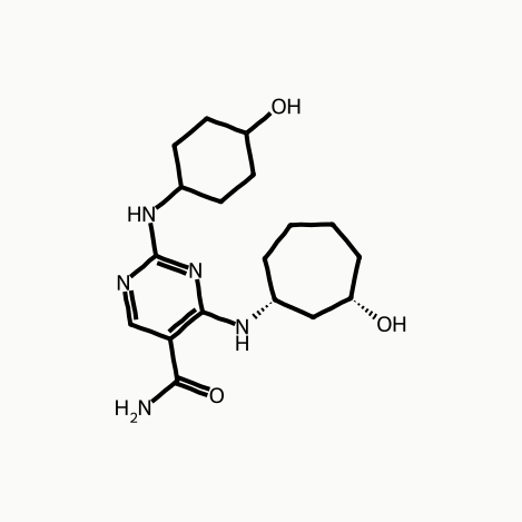 NC(=O)c1cnc(NC2CCC(O)CC2)nc1N[C@@H]1CCCC[C@H](O)C1